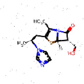 C[C@H](CC1=C(C(=O)O)N2C(=O)[C@H](CO)[C@H]2S1)n1ccnc1